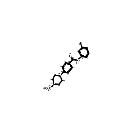 O=C(Nc1cccc(Br)c1)c1ccc(N2CCN(C(=O)O)CC2)cc1